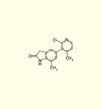 Cc1cc(-c2c(C)ccnc2Cl)cc2c1NC(=O)C2